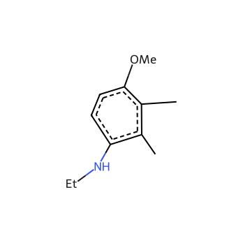 CCNc1ccc(OC)c(C)c1C